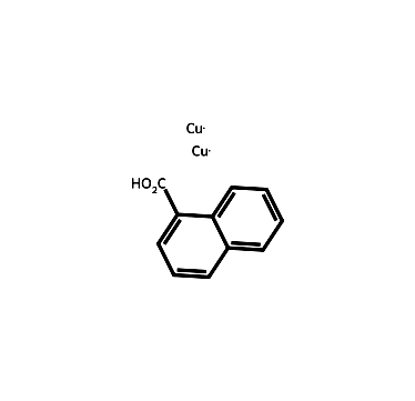 O=C(O)c1cccc2ccccc12.[Cu].[Cu]